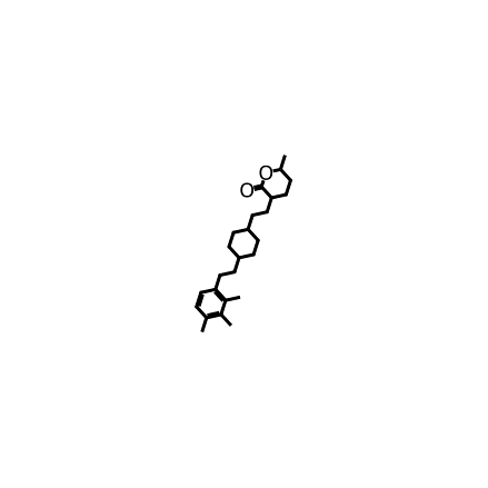 Cc1ccc(CCC2CCC(CCC3CCC(C)OC3=O)CC2)c(C)c1C